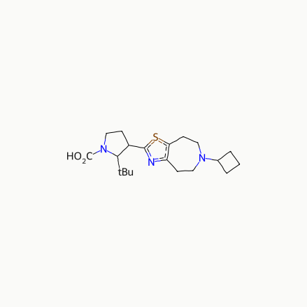 CC(C)(C)C1C(c2nc3c(s2)CCN(C2CCC2)CC3)CCN1C(=O)O